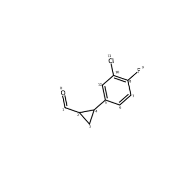 O=CC1CC1c1ccc(F)c(Cl)c1